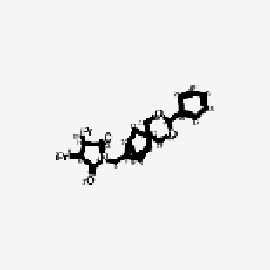 CC(C)C1C(=O)N(CC2CC3CC2CC32COC(c3ccccc3)OC2)C(=O)C1C(C)C